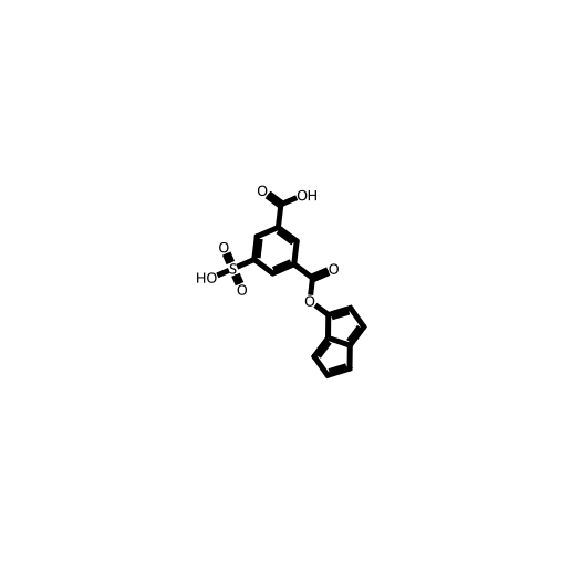 O=C(O)c1cc(C(=O)OC2=CC=C3C=CC=C32)cc(S(=O)(=O)O)c1